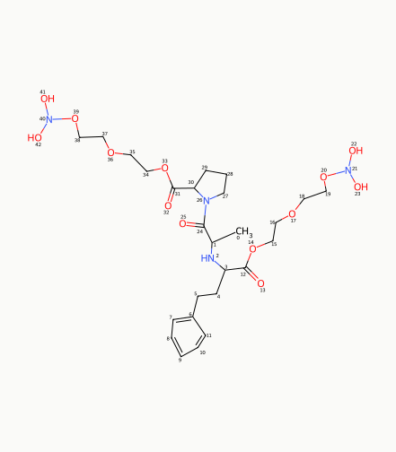 CC(NC(CCc1ccccc1)C(=O)OCCOCCON(O)O)C(=O)N1CCCC1C(=O)OCCOCCON(O)O